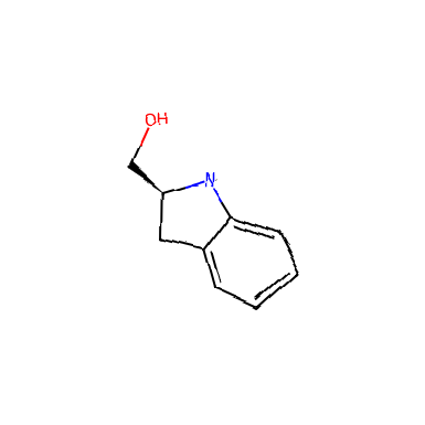 OC[C@@H]1Cc2ccccc2[N]1